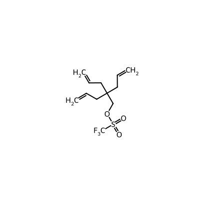 C=CCC(CC=C)(CC=C)COS(=O)(=O)C(F)(F)F